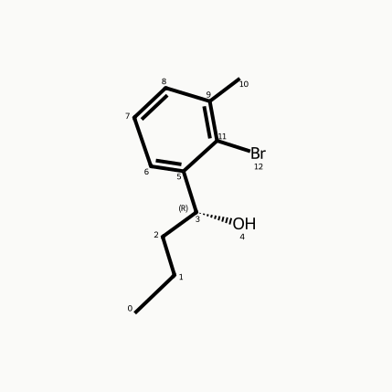 CCC[C@@H](O)c1cccc(C)c1Br